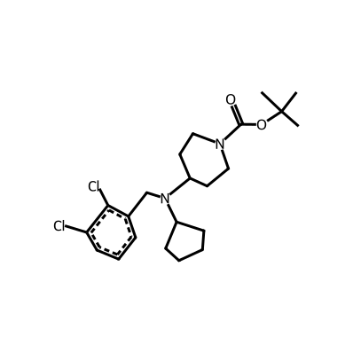 CC(C)(C)OC(=O)N1CCC(N(Cc2cccc(Cl)c2Cl)C2CCCC2)CC1